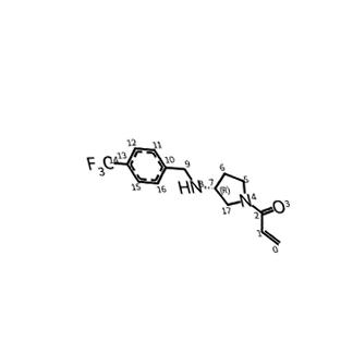 C=CC(=O)N1CC[C@@H](NCc2ccc(C(F)(F)F)cc2)C1